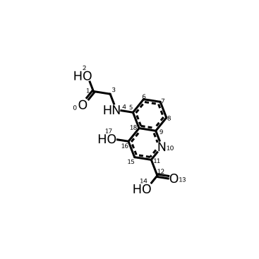 O=C(O)CNc1cccc2nc(C(=O)O)cc(O)c12